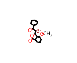 COc1cccc2c1C(C(Br)C(=O)c1ccccc1)OC2=O